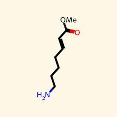 COC(=O)C=CCCCCN